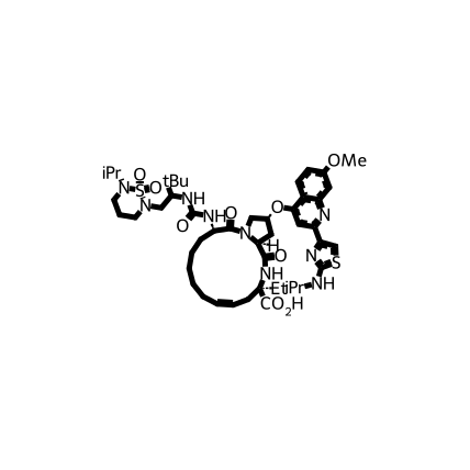 CC[C@]1(C(=O)O)C/C=C\CCCCC[C@H](NC(=O)NC(CN2CCCN(C(C)C)S2(=O)=O)C(C)(C)C)C(=O)N2C[C@H](Oc3cc(-c4csc(NC(C)C)n4)nc4cc(OC)ccc34)C[C@H]2C(=O)N1